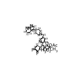 CC(=O)OC(C)(C)C(=O)N(C)C(c1ccc(F)c(F)c1)c1ccc(CN2CCC(c3cnn4ncccc34)CC2)cn1